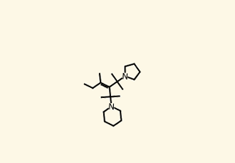 CCC(C)=C(C(C)(C)N1CCCCC1)C(C)(C)N1CCCC1